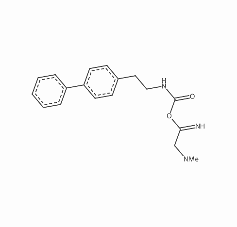 CNCC(=N)OC(=O)NCCc1ccc(-c2ccccc2)cc1